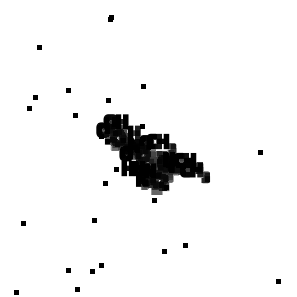 COc1ccc(Nc2ncc3cccc(-c4ccnn4CC(C)C)c3n2)cc1NC(=O)c1ccc(C(=O)O)cc1